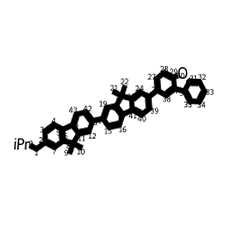 CC(C)Cc1ccc2c(c1)C(C)(C)c1cc(-c3ccc4c(c3)C(C)(C)c3cc(-c5ccc6oc7ccccc7c6c5)ccc3-4)ccc1-2